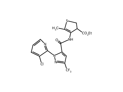 CCOC(=O)C1CSC(C)=C1NC(=O)c1cc(C(F)(F)F)nn1-c1ncccc1Cl